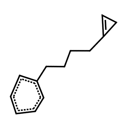 C1=C(CCCCc2ccccc2)C1